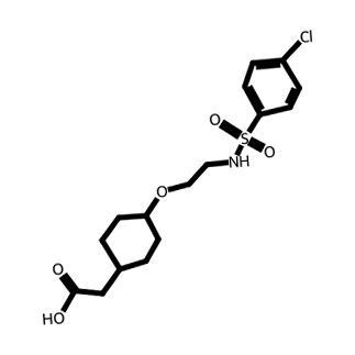 O=C(O)CC1CCC(OCCNS(=O)(=O)c2ccc(Cl)cc2)CC1